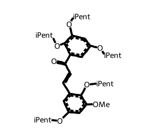 CCCC(C)Oc1cc(C=CC(=O)c2cc(OC(C)CCC)cc(OC(C)CCC)c2OC(C)CCC)c(OC(C)CCC)c(OC)c1